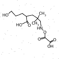 CC(C)(CNOC(=O)C(=O)O)CC(CCCO)C(=O)O